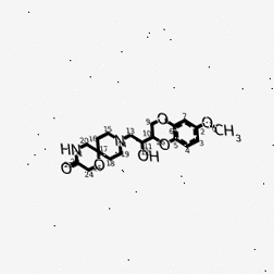 COc1ccc2c(c1)OCC(C(O)CN1CCC3(CC1)CNC(=O)CO3)O2